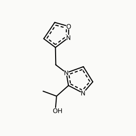 CC(O)c1nccn1Cc1ccon1